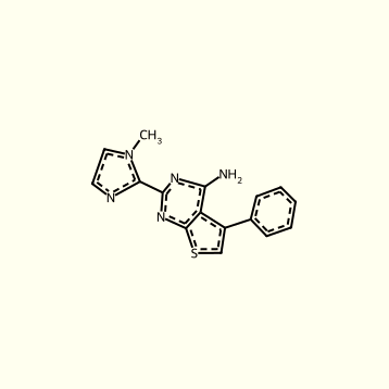 Cn1ccnc1-c1nc(N)c2c(-c3ccccc3)csc2n1